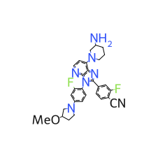 COC1CCN(c2ccc(-n3c(-c4ccc(C#N)c(F)c4)nc4c(N5CCCC(N)C5)ccnc43)c(F)c2)C1